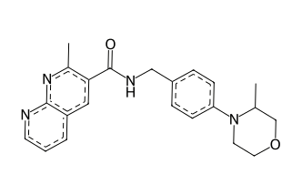 Cc1nc2ncccc2cc1C(=O)NCc1ccc(N2CCOCC2C)cc1